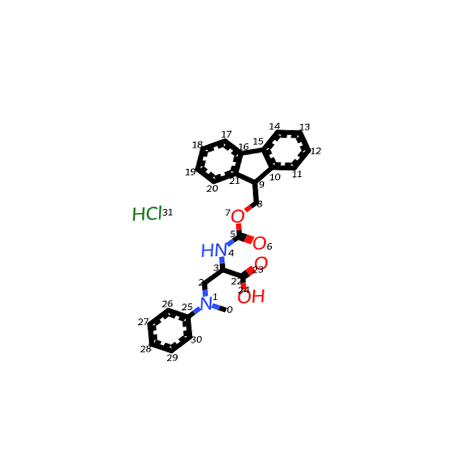 CN(CC(NC(=O)OCC1c2ccccc2-c2ccccc21)C(=O)O)c1ccccc1.Cl